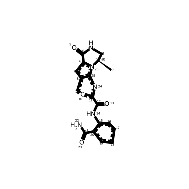 C[C@@H]1CNC(=O)c2cc3ccc(C(=O)Nc4ccccc4C(N)=O)nc3n21